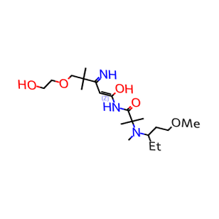 CCC(CCOC)N(C)C(C)(C)C(=O)N/C(O)=C/C(=N)C(C)(C)COCCO